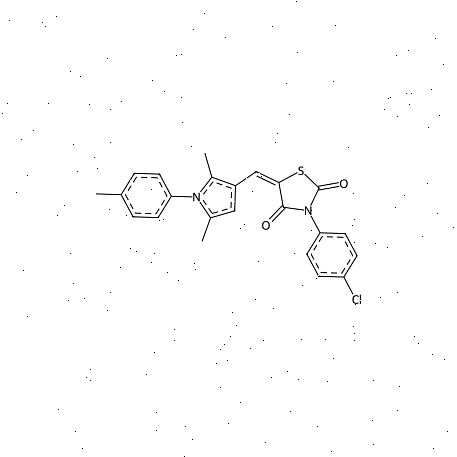 Cc1ccc(-n2c(C)cc(C=C3SC(=O)N(c4ccc(Cl)cc4)C3=O)c2C)cc1